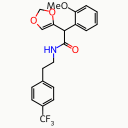 COc1ccccc1C(C(=O)NCCc1ccc(C(F)(F)F)cc1)C1=COCO1